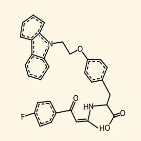 C/C(=C/C(=O)c1ccc(F)cc1)NC(Cc1ccc(OCCn2c3ccccc3c3ccccc32)cc1)C(=O)O